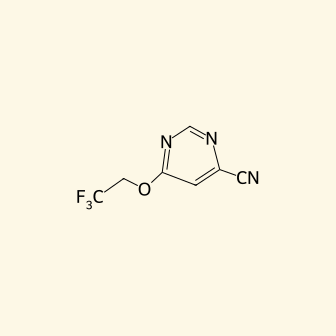 N#Cc1cc(OCC(F)(F)F)ncn1